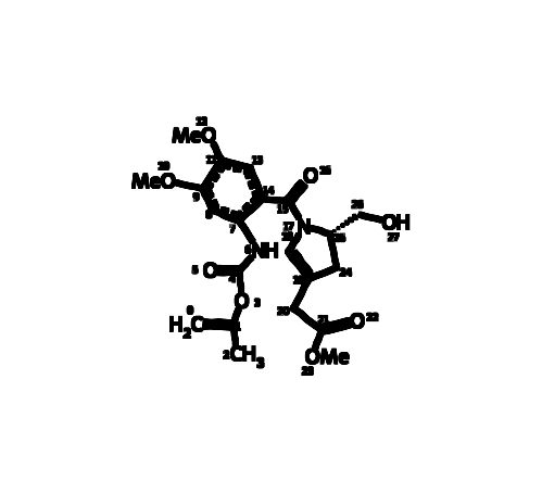 C=C(C)OC(=O)Nc1cc(OC)c(OC)cc1C(=O)N1C=C(CC(=O)OC)C[C@H]1CO